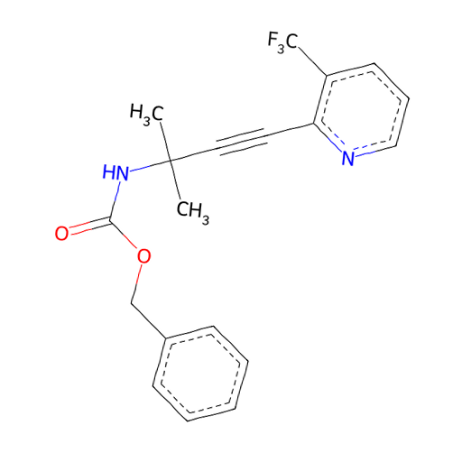 CC(C)(C#Cc1ncccc1C(F)(F)F)NC(=O)OCc1ccccc1